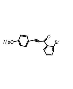 COc1ccc(C#CC(=O)c2ccccc2Br)cc1